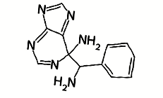 NC(c1ccccc1)C1(N)N=CN=C2N=CN=C21